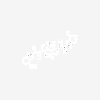 Cc1c(NC(=O)c2cc3n(n2)CCCC3=O)cccc1-c1cccc(NC(=O)c2cc3n(n2)CCCC3O)c1C